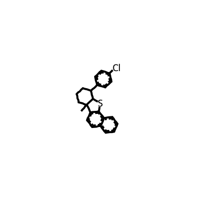 CC12CCCC(c3ccc(Cl)cc3)C1Sc1c2ccc2ccccc12